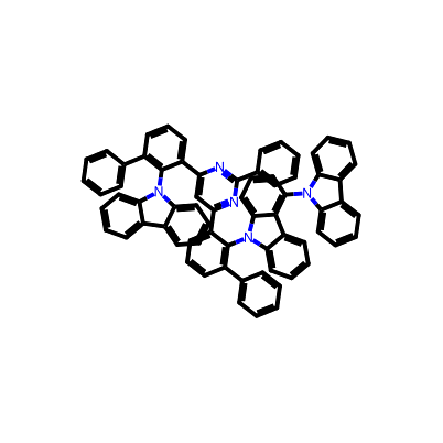 c1ccc(-c2nc(-c3cccc(-c4ccccc4)c3-n3c4ccccc4c4ccccc43)cc(-c3cccc(-c4ccccc4)c3-n3c4ccccc4c4c(-n5c6ccccc6c6ccccc65)cccc43)n2)cc1